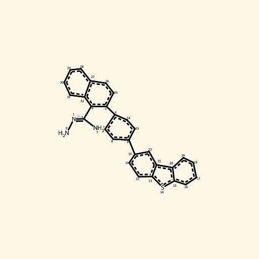 N/N=C(\N)c1c(-c2ccc(-c3ccc4sc5ccccc5c4c3)cc2)ccc2ccccc12